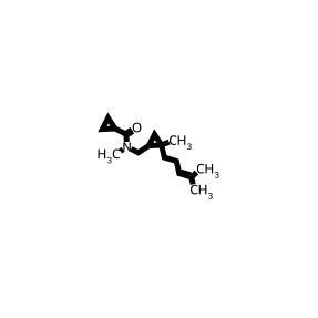 CC(C)=CCCC1(C)CC1CN(C)C(=O)C1CC1